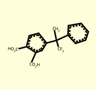 CC(c1ccccc1)(c1ccc(C(=O)O)c(C(=O)O)c1)C(F)(F)F